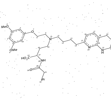 COc1cc(OC)cc(OCCN(CCCCc2ccc3c(n2)NCCC3)CCC(NC(=O)CC(C)C)C(=O)O)c1